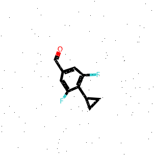 O=Cc1cc(F)c(C2CC2)c(F)c1